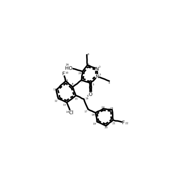 Cc1nn(C)c(=O)c(-c2c(F)ccc(Cl)c2CCc2ccc(F)cc2)c1O